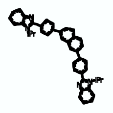 CC(C)n1c(-c2ccc(-c3ccc4ccc(-c5ccc(-c6nc7ccccc7n6C(C)C)cc5)cc4c3)cc2)nc2ccccc21